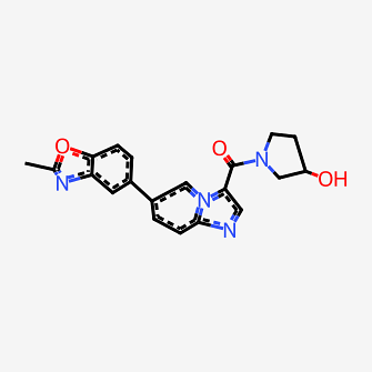 Cc1nc2cc(-c3ccc4ncc(C(=O)N5CCC(O)C5)n4c3)ccc2o1